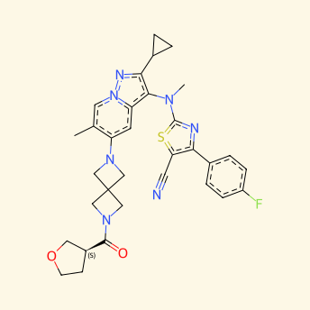 Cc1cn2nc(C3CC3)c(N(C)c3nc(-c4ccc(F)cc4)c(C#N)s3)c2cc1N1CC2(CN(C(=O)[C@H]3CCOC3)C2)C1